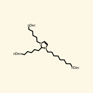 CCCCCCCCCCCCCCCCCCN1C=CN(CCCCCCCCCCCCCCC)C1CCCCCCCCCCCCCCC